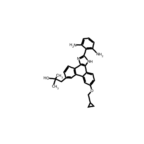 CC(C)(O)Cc1ccc2c(c1)c1cc(OCC3CC3)ccc1c1[nH]c(-c3c(N)cccc3N)nc21